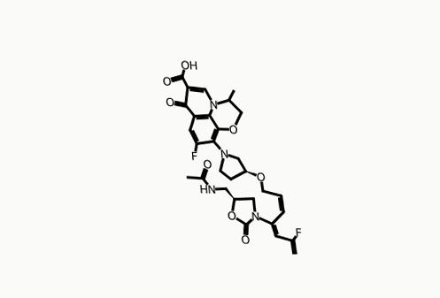 C=C(F)/C=C(\C=C/CO[C@H]1CCN(c2c(F)cc3c(=O)c(C(=O)O)cn4c3c2OCC4C)C1)N1C[C@H](CNC(C)=O)OC1=O